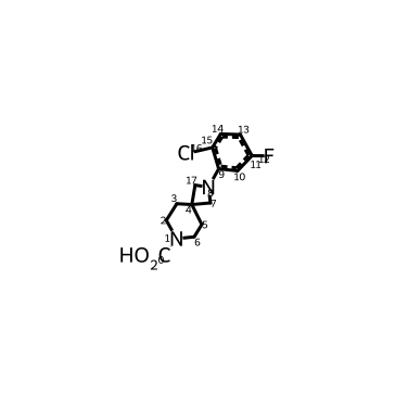 O=C(O)N1CCC2(CC1)CN(c1cc(F)ccc1Cl)C2